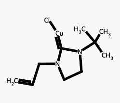 C=CCN1CCN(C(C)(C)C)[C]1=[Cu][Cl]